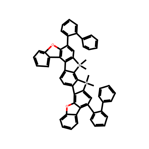 C[Si]1(C)c2cc(-c3ccccc3-c3ccccc3)c3c(oc4ccccc43)c2-c2ccc3c(c21)[Si](C)(C)c1cc(-c2ccccc2-c2ccccc2)c2oc4ccccc4c2c1-3